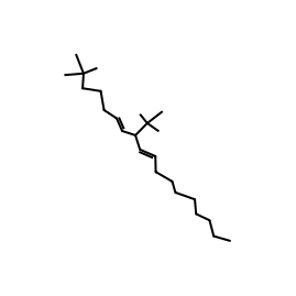 CCCCCCCCC=CC(C=CCCCC(C)(C)C)C(C)(C)C